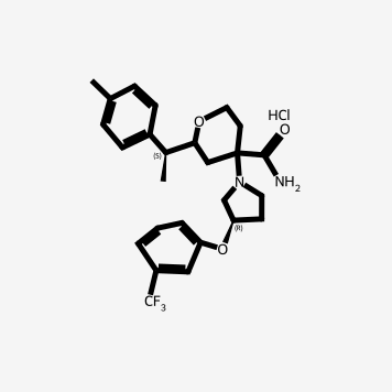 Cc1ccc([C@H](C)C2CC(C(N)=O)(N3CC[C@@H](Oc4cccc(C(F)(F)F)c4)C3)CCO2)cc1.Cl